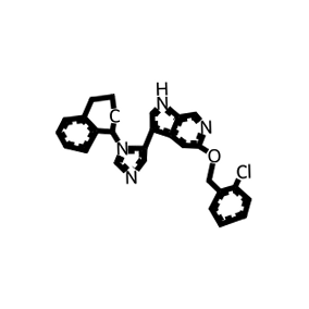 Clc1ccccc1COc1cc2c(-c3cncn3C3CCCc4ccccc43)c[nH]c2cn1